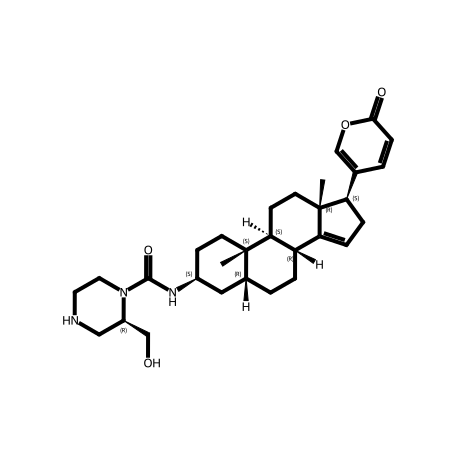 C[C@]12CC[C@H](NC(=O)N3CCNC[C@@H]3CO)C[C@H]1CC[C@H]1C3=CC[C@H](c4ccc(=O)oc4)[C@@]3(C)CC[C@@H]12